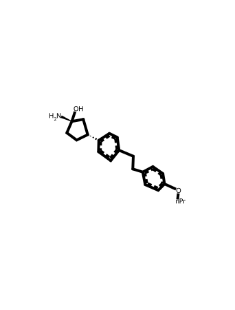 CCCOc1ccc(CCc2ccc([C@@H]3CC[C@](N)(O)C3)cc2)cc1